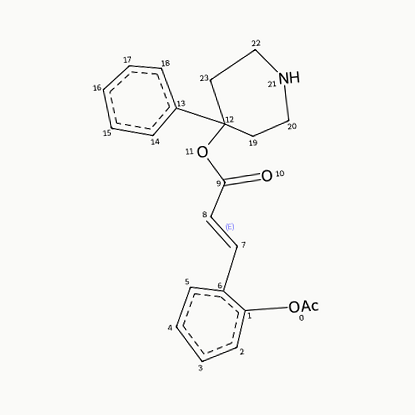 CC(=O)Oc1ccccc1/C=C/C(=O)OC1(c2ccccc2)CCNCC1